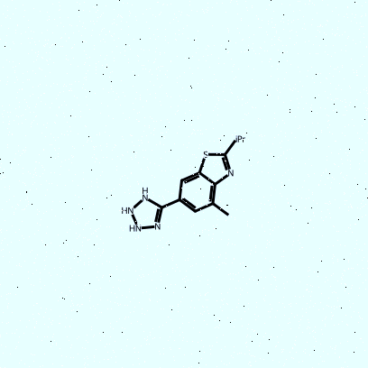 Cc1cc(C2=NNNN2)cc2sc(C(C)C)nc12